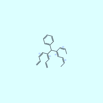 C=C/C=C\C(=C/C=C)C(C(/C=C\C)=C/C=C\C)c1ccccc1